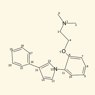 CN(C)CCOc1ccccc1-n1ccc(-c2ccccc2)c1